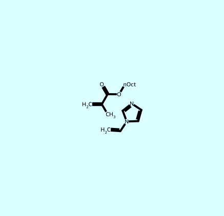 C=C(C)C(=O)OCCCCCCCC.C=Cn1ccnc1